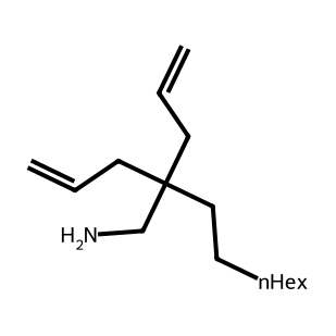 C=CCC(CN)(CC=C)CCCCCCCC